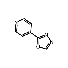 c1cc(-c2nnco2)ccn1